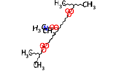 CCCCCC(CCCCC)CCOC(=O)OCCCCCCCCC(CCCCCCCCOC(=O)OCCC(CCCCC)CCCCC)OCOCCN(C)C